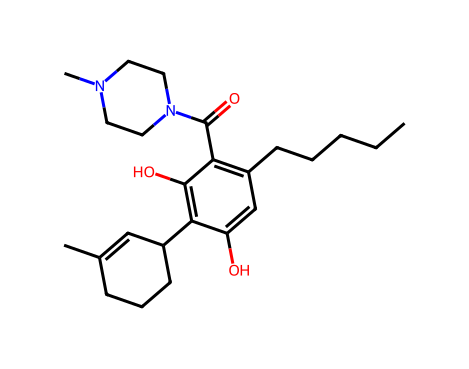 CCCCCc1cc(O)c(C2C=C(C)CCC2)c(O)c1C(=O)N1CCN(C)CC1